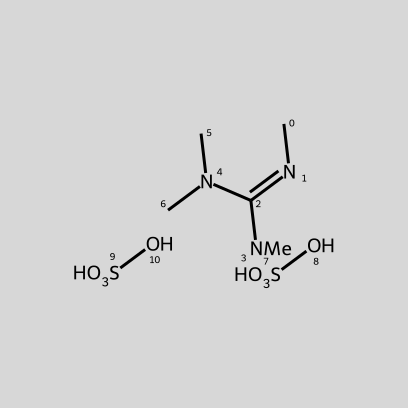 CN=C(NC)N(C)C.O=S(=O)(O)O.O=S(=O)(O)O